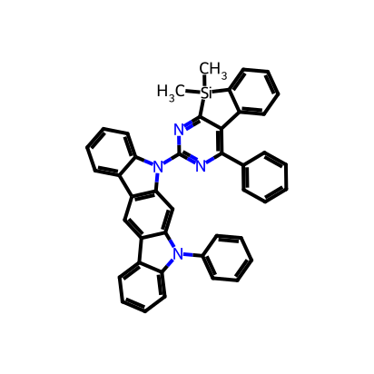 C[Si]1(C)c2ccccc2-c2c(-c3ccccc3)nc(-n3c4ccccc4c4cc5c6ccccc6n(-c6ccccc6)c5cc43)nc21